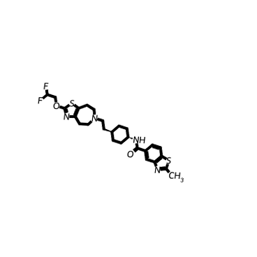 Cc1nc2cc(C(=O)N[C@H]3CC[C@H](CCN4CCc5nc(OCC(F)F)sc5CC4)CC3)ccc2s1